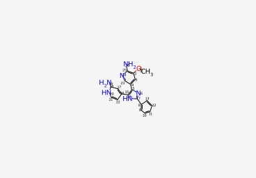 COc1cc(-c2nc(-c3ccccc3)[nH]c2C2=CC(N)NC=C2)cnc1N